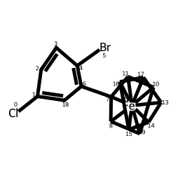 Clc1ccc(Br)c([C]23[CH]4[CH]5[CH]6[CH]2[Fe]56432789[CH]3[CH]2[CH]7[CH]8[CH]39)c1